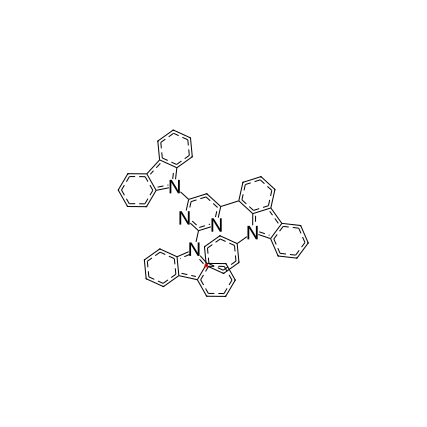 c1ccc(-n2c3ccccc3c3cccc(-c4cc(-n5c6ccccc6c6ccccc65)nc(-n5c6ccccc6c6ccccc65)n4)c32)cc1